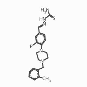 Cc1ccccc1CN1CCN(c2ccc(C=NNC(N)=S)cc2F)CC1